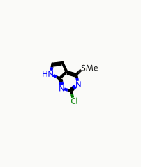 CSc1nc(Cl)nc2[nH]ccc12